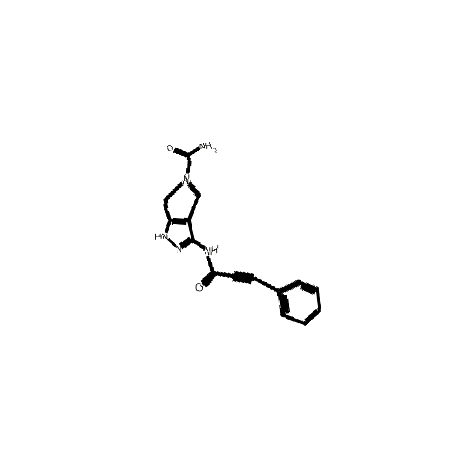 NC(=O)N1Cc2[nH]nc(NC(=O)C#Cc3ccccc3)c2C1